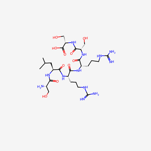 CC(C)C[C@H](NC(=O)[C@@H](N)CO)C(=O)N[C@@H](CCCNC(=N)N)C(=O)N[C@@H](CCCNC(=N)N)C(=O)N[C@@H](CO)C(=O)N[C@@H](CO)C(=O)O